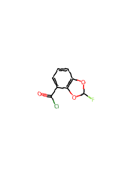 O=C(Cl)c1cccc2c1OC(F)O2